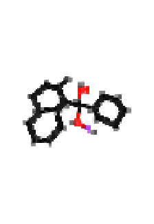 Cc1ccc2ccccc2c1C(O)(OI)c1ccccc1